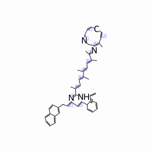 C=CC1C=CC=CC1/C=C/C(=C/Cc1ccc2ccccc2c1)/N=C(N)/C(C)=C/C=C(C)/C(C)=C/C=C(C)/C(C)=N/C1=C(C)/C=C\C/C=C\C=N/C1